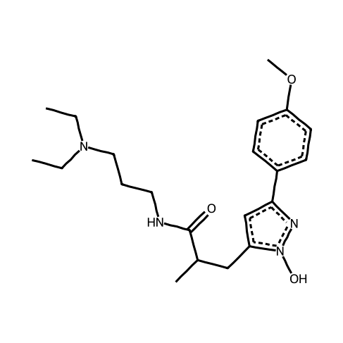 CCN(CC)CCCNC(=O)C(C)Cc1cc(-c2ccc(OC)cc2)nn1O